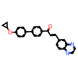 O=C(/C=C/c1ccc2nccnc2c1)c1ccc(-c2ccc(OC3CC3)cc2)cc1